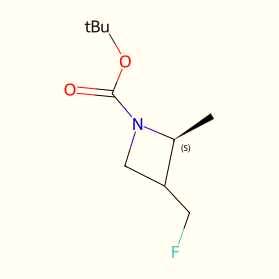 C[C@H]1C(CF)CN1C(=O)OC(C)(C)C